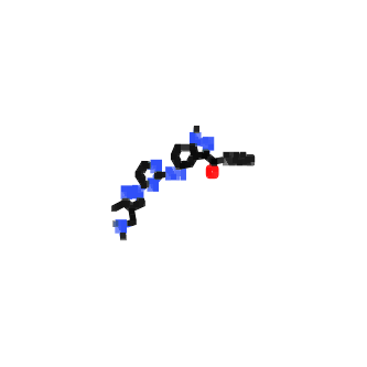 CNC(=O)c1nn(C)c2ccc(Nc3nccc(-n4cc(CN(C)C)c(C)n4)n3)cc12